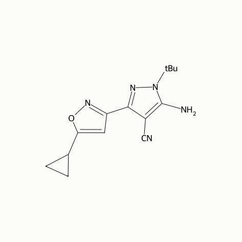 CC(C)(C)n1nc(-c2cc(C3CC3)on2)c(C#N)c1N